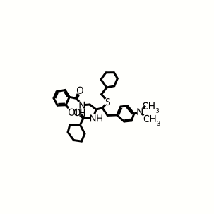 CN(C)c1ccc(CC(SCC2CCCCC2)C(CNC(=O)c2ccccc2O)NC(=O)C2CCCCC2)cc1